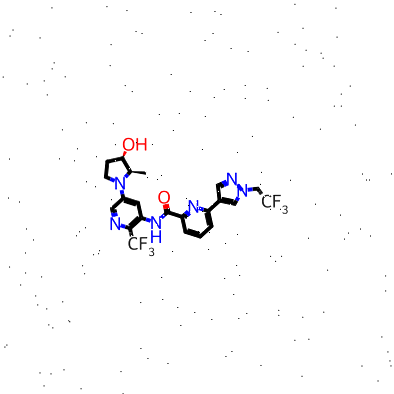 C[C@@H]1[C@H](O)CCN1c1cnc(C(F)(F)F)c(NC(=O)c2cccc(-c3cnn(CC(F)(F)F)c3)n2)c1